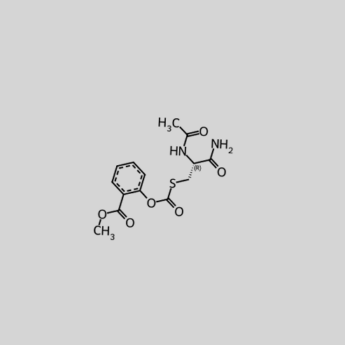 COC(=O)c1ccccc1OC(=O)SC[C@H](NC(C)=O)C(N)=O